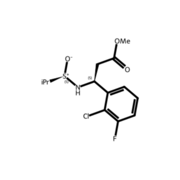 COC(=O)C[C@H](N[S@+]([O-])C(C)C)c1cccc(F)c1Cl